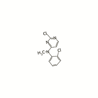 CN(c1ccnc(Cl)n1)c1ccccc1Cl